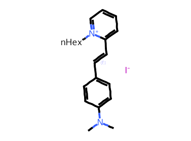 CCCCCC[n+]1ccccc1/C=C/c1ccc(N(C)C)cc1.[I-]